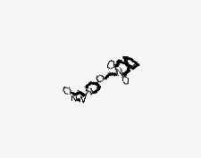 O=C1CC2(CCCC2)CC(=O)N1CCCOC1CCN(c2cc(Cl)ncn2)CC1